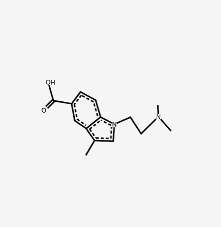 Cc1cn(CCN(C)C)c2ccc(C(=O)O)cc12